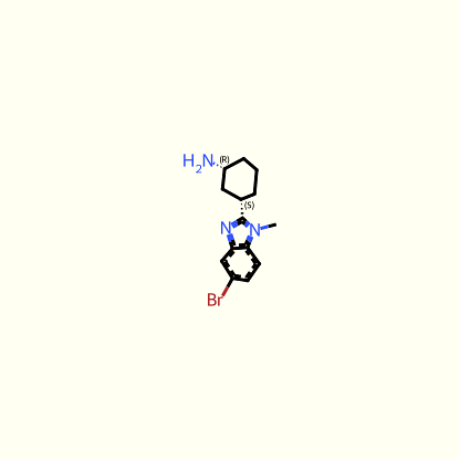 Cn1c([C@H]2CCC[C@@H](N)C2)nc2cc(Br)ccc21